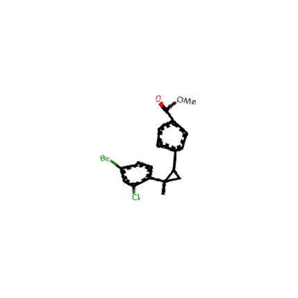 COC(=O)c1ccc(C2CC2(C)c2ccc(Br)cc2Cl)cc1